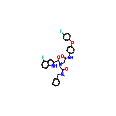 CN(Cc1ccccc1)C(=O)CN(CC(=O)Nc1ccc(Oc2ccc(F)cc2)cc1)C(=O)c1cc2c(F)cccc2[nH]1